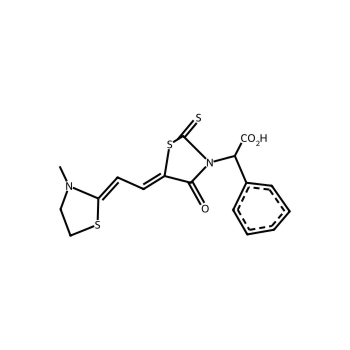 CN1CCSC1=CC=C1SC(=S)N(C(C(=O)O)c2ccccc2)C1=O